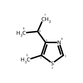 Cc1scnc1C(C)C